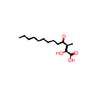 CCCCCCCCCC(=O)C(C)=C(O)C(=O)O